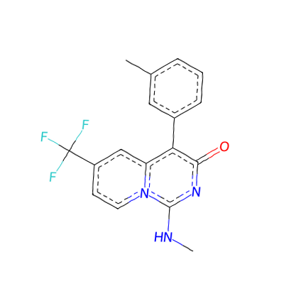 CNc1nc(=O)c(-c2cccc(C)c2)c2cc(C(F)(F)F)ccn12